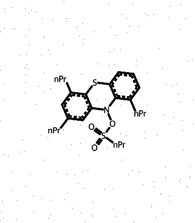 CCCc1cc(CCC)c2c(c1)N(OS(=O)(=O)CCC)c1c(CCC)cccc1S2